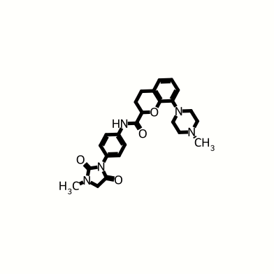 CN1CCN(c2cccc3c2OC(C(=O)Nc2ccc(N4C(=O)CN(C)C4=O)cc2)CC3)CC1